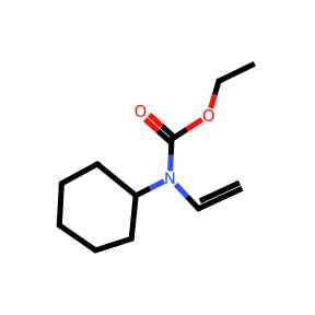 C=CN(C(=O)OCC)C1CCCCC1